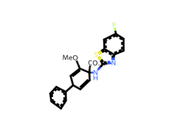 COC1=CC(c2ccccc2)C=CC1(Nc1nc2ccc(F)cc2s1)C(=O)O